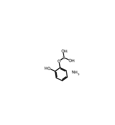 N.OB(O)Oc1ccccc1O